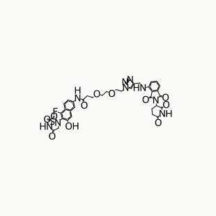 O=C1CCC(N2C(=O)c3cccc(NCc4cn(CCOCCOCCC(=O)Nc5ccc6c(F)c(N7CC(=O)NS7(=O)=O)c(O)cc6c5)nn4)c3C2=O)C(=O)N1